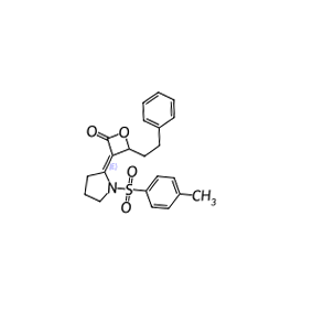 Cc1ccc(S(=O)(=O)N2CCC/C2=C2\C(=O)OC2CCc2ccccc2)cc1